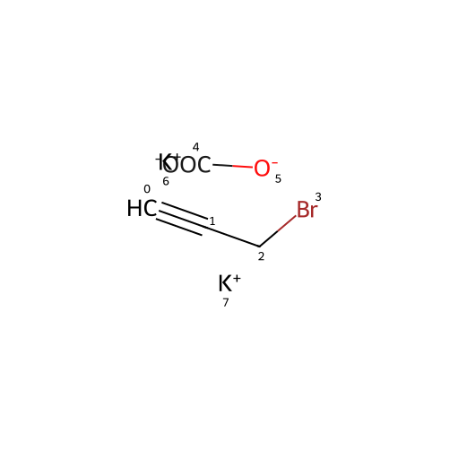 C#CCBr.O=C([O-])[O-].[K+].[K+]